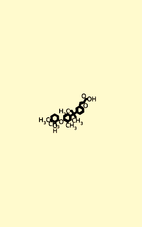 CCC(CC)(c1ccc(OC2CCCC(C)(C)[C@@H]2O)c(C)c1)c1ccc2oc(C(=O)O)cc2c1